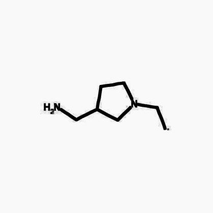 [CH2]CN1CCC(CN)C1